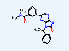 CC(c1ccccc1)n1c(=O)[nH]c2ncc(-c3cccc(C(=O)N(C)C)c3)nc21